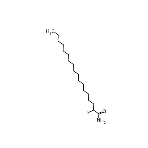 CCCCCCCCCCCCCCCCC(I)C(N)=O